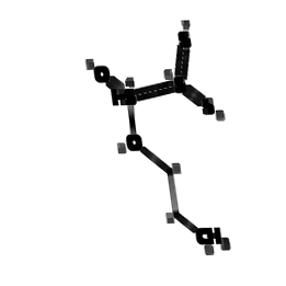 CCCO[SH](=O)=S(=S)=S